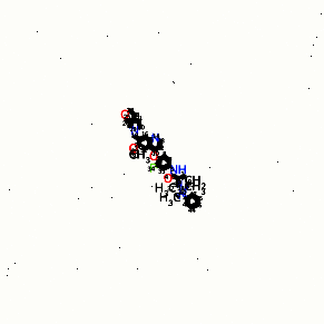 C=C/C(C(=O)Nc1ccc(Oc2ccnc3cc(CN4CCC5(CCOC5)C4)c(OC)cc23)c(F)c1)=C(/C)N(C)N(C)c1ccccc1